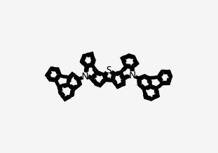 c1ccc2c(c1)-c1cccc3cc(-n4c5ccccc5c5c6sc7c(ccc8c7c7ccccc7n8-c7cc8c9c(cccc9c7)-c7ccccc7-8)c6ccc54)cc-2c13